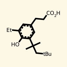 CCc1cc(CCC(=O)O)cc(C(C)(C)CC(C)(C)C)c1O